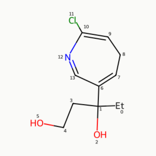 CCC(O)(CCO)C1=CCC=C(Cl)N=C1